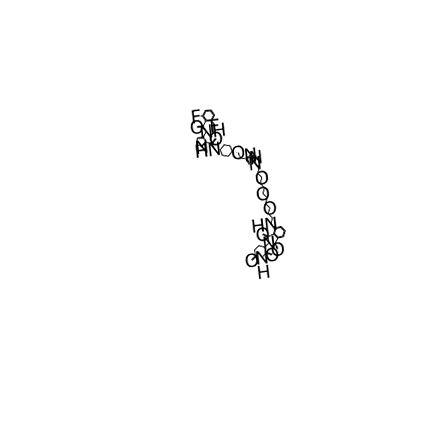 O=C1CCC(N2C(=O)c3cccc(NCCOCCOCCOCCn4cc(CO[C@H]5CC[C@H](NC(=O)C6=NCC=C6NC(=O)c6c(F)cccc6F)CC5)nn4)c3C2=O)C(=O)N1